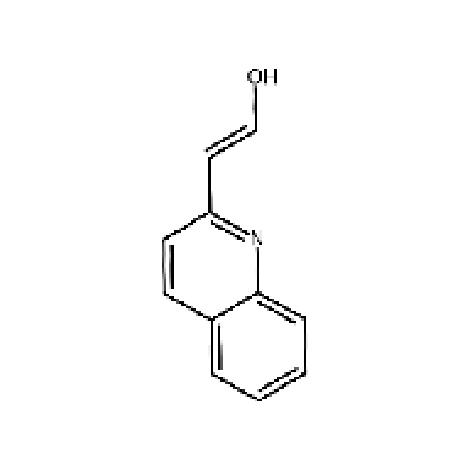 OC=Cc1ccc2ccccc2n1